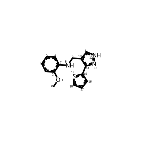 COc1ccccc1NCc1c[nH]nc1-c1cccs1